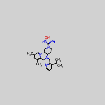 Cc1cnc(CN(Cc2ncccc2C(C)C)C2CCN(C(=N)NO)CC2)c(C)c1